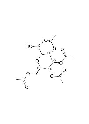 CC(=O)OC[C@H]1OC(C(=O)O)[C@H](OC(C)=O)[C@@H](OC(C)=O)[C@@H]1OC(C)=O